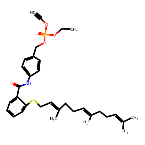 C#COP(=O)(OCC)OCc1ccc(NC(=O)c2ccccc2SC/C=C(\C)CC/C=C(\C)CCC=C(C)C)cc1